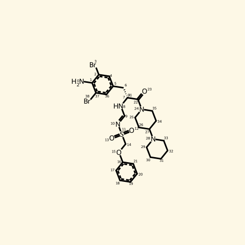 Nc1c(Br)cc(C[C@@H](NC=NS(=O)(=O)COc2ccccc2)C(=O)N2CCC(N3CCCCC3)CC2)cc1Br